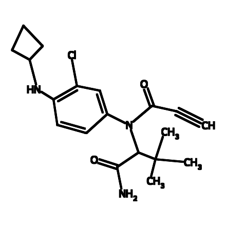 C#CC(=O)N(c1ccc(NC2CCC2)c(Cl)c1)C(C(N)=O)C(C)(C)C